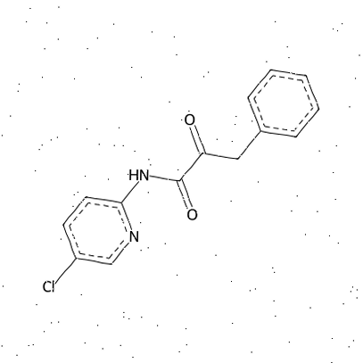 O=C(Cc1ccccc1)C(=O)Nc1ccc(Cl)cn1